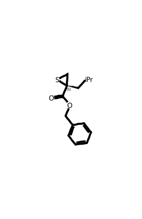 CC(C)C[C@]1(C(=O)OCc2ccccc2)CS1